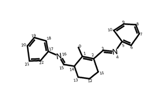 CC1=C(C=Nc2ccccc2)CCCC1C=Nc1ccccc1